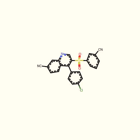 N#Cc1cccc(S(=O)(=O)c2cnc3cc(C#N)ccc3c2-c2ccc(Cl)cc2)c1